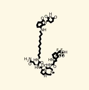 CN1CC[C@H]2CC[C@@H](C(=O)N[C@@H](CCC(N)=O)C(=O)NCCCCCCCCCCCCNc3cccc4c3CN(C3CCC(=O)NC3=O)C4=O)N2C(=O)[C@@H](NC(=O)c2cc3cc(C(F)(F)P(=O)(O)O)ccc3[nH]2)C1